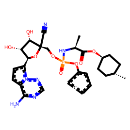 C[C@H](NP(=O)(OC[C@@]1(C#N)O[C@@H](c2ccc3c(N)ncnn23)[C@H](O)[C@@H]1O)Oc1ccccc1)C(=O)O[C@H]1CC[C@H](C)CC1